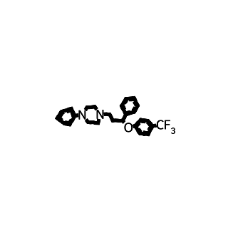 FC(F)(F)c1ccc(OC(CCN2CCN(c3ccccc3)CC2)c2ccccc2)cc1